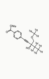 [2H]C([2H])([2H])OC[C@@](O)(C#Cc1ccc(C(=O)OC)cc1)C([2H])([2H])C([2H])([2H])[2H]